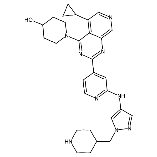 OC1CCN(c2nc(-c3ccnc(Nc4cnn(CC5CCNCC5)c4)c3)nc3cncc(C4CC4)c23)CC1